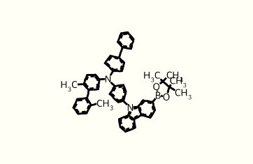 Cc1ccccc1-c1cc(N(c2ccc(-c3ccccc3)cc2)c2ccc(-n3c4ccccc4c4ccc(B5OC(C)(C)C(C)(C)O5)cc43)cc2)ccc1C